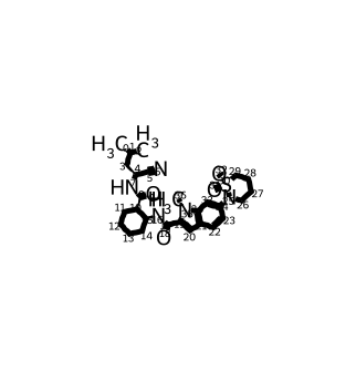 CC(C)C[C@@H](C#N)NC(=O)[C@@H]1CCCC[C@@H]1NC(=O)c1cc2ccc(N3CCCCS3(=O)=O)cc2n1C